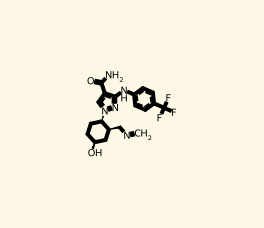 C=NC[C@H]1C[C@@H](O)CC[C@@H]1n1cc(C(N)=O)c(Nc2ccc(C(F)(F)F)cc2)n1